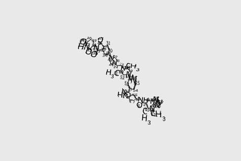 CC1=C(C(=O)Nc2ccc3[nH]nc(-c4ccnc(N5C[C@@H](C)N(CCN6CCN(c7ccc8c(c7)C(=O)N(C7CCC(=O)NC7=O)C8=O)CC6)[C@@H](C)C5)c4)c3c2)Cn2nnnc2N1C